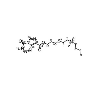 CCCC[N+](C)(C)CCSSCCOC(=O)c1ncn2c(=O)n(C)nnc12